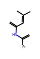 C=C(C=C(C)C)NC(=C)C(C)C